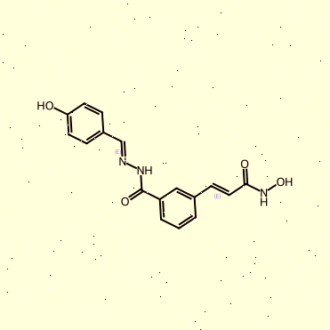 O=C(/C=C/c1cccc(C(=O)N/N=C/c2ccc(O)cc2)c1)NO